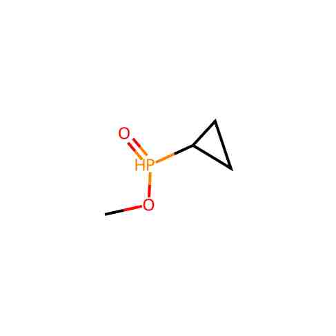 CO[PH](=O)C1CC1